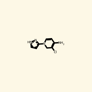 NC1=C(Cl)CN(c2cc[nH]n2)C=C1